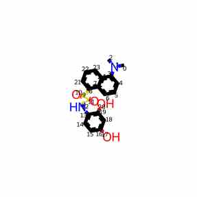 CN(C)c1cccc2c(S(=O)(=O)Nc3ccc(O)cc3O)cccc12